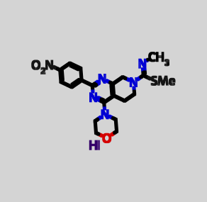 CN=C(SC)N1CCc2c(nc(-c3ccc([N+](=O)[O-])cc3)nc2N2CCOCC2)C1.I